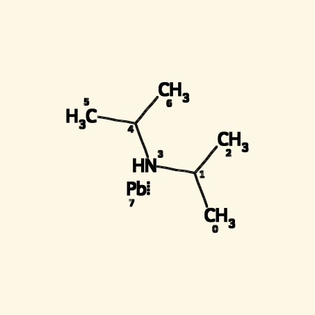 CC(C)NC(C)C.[Pb]